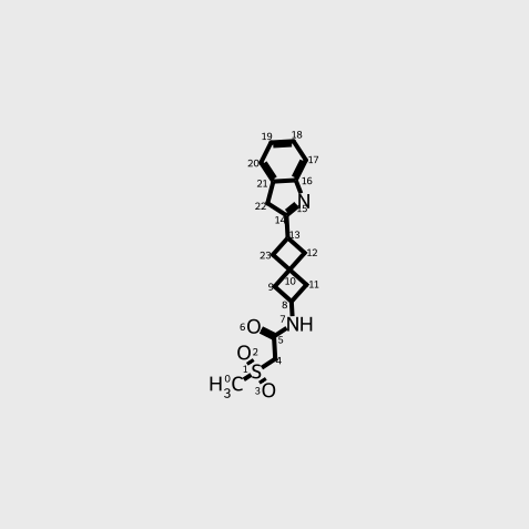 CS(=O)(=O)CC(=O)NC1CC2(C1)CC(C1=Nc3ccccc3C1)C2